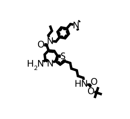 CCCN(Cc1ccc(CN(C)C)cc1)C(=O)C1=Cc2sc(CCCCCNC(=O)OC(C)(C)C)cc2N=C(N)C1